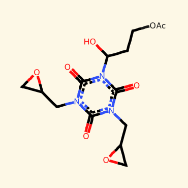 CC(=O)OCCC(O)n1c(=O)n(CC2CO2)c(=O)n(CC2CO2)c1=O